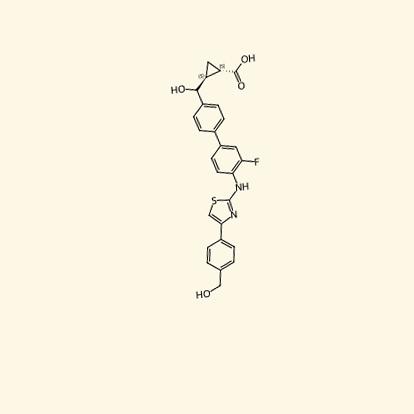 O=C(O)[C@H]1C[C@@H]1C(O)c1ccc(-c2ccc(Nc3nc(-c4ccc(CO)cc4)cs3)c(F)c2)cc1